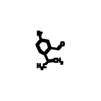 C=C(C)c1ccc(Br)cc1C=O